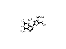 CC(=O)OC[C@H]1[C@@H](OC(C)=O)[C@H](n2cnc3c(N)nc(N)nc32)O[C@@H]1CO